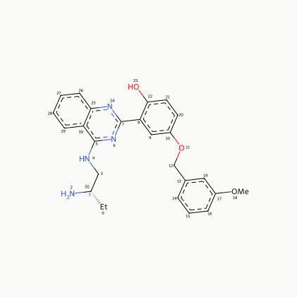 CC[C@H](N)CNc1nc(-c2cc(OCc3cccc(OC)c3)ccc2O)nc2ccccc12